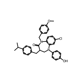 COc1ccc(CN2C(=O)C(Cc3ccc(C(C)C)cc3)CN(c3ccc(O)cc3)c3cc(Cl)ccc32)cc1